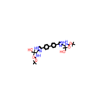 CC(C)(C)OC(=O)NC(c1nc(-c2ccc(-c3ccc(-c4c[nH]c(C(NC(=O)OC(C)(C)C)C(C)(C)CO)n4)cc3)cc2)c[nH]1)C(C)(C)CO